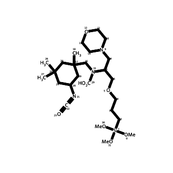 CO[Si](CCCOCC(CN1CCOCC1)N(CC1(C)CC(N=C=O)CC(C)(C)C1)C(=O)O)(OC)OC